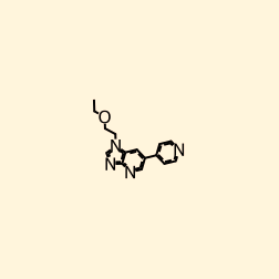 CCOCCn1cnc2ncc(-c3ccncc3)cc21